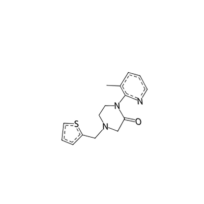 Cc1cccnc1N1CCN(Cc2cccs2)CC1=O